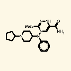 CSC1=NNC(C(N)=O)=CN1N(c1ccccc1)C1CCN(C2CCCC2)CC1